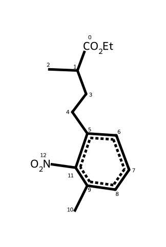 CCOC(=O)C(C)CCc1cccc(C)c1[N+](=O)[O-]